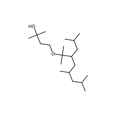 CC(C)CC(C)CC(CC(C)C)C(C)(C)OCCC(C)(C)O